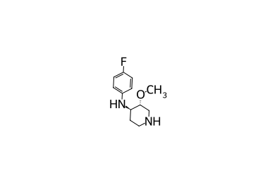 CO[C@@H]1CNCC[C@H]1Nc1ccc(F)cc1